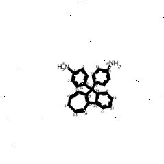 Nc1ccc(C2(c3ccc(N)cc3)C3=C(C=CCC=C3)c3ccccc32)cc1